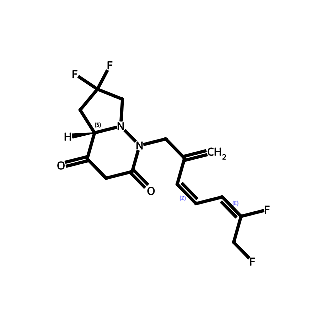 C=C(/C=C\C=C(\F)CF)CN1C(=O)CC(=O)[C@@H]2CC(F)(F)CN21